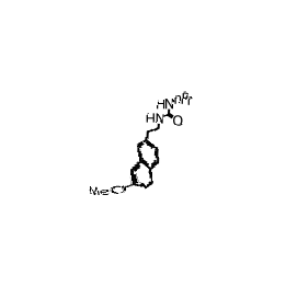 CCCNC(=O)NCCc1ccc2ccc(OC)cc2c1